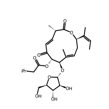 C/C=C(/C)[C@H]1C/C=C(\C)[C@@H](O[C@H]2O[C@H](CO)[C@@H](O)[C@@H]2O)[C@H](OC(=O)CC(C)C)C(=O)/C=C/[C@H](C)C(=O)O1